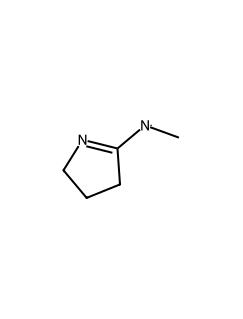 C[N]C1=NCCC1